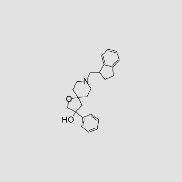 OC1(c2ccccc2)COC2(CCN(CC3CCc4ccccc43)CC2)C1